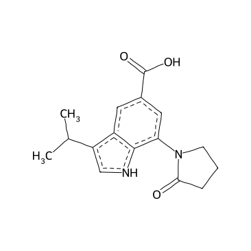 CC(C)c1c[nH]c2c(N3CCCC3=O)cc(C(=O)O)cc12